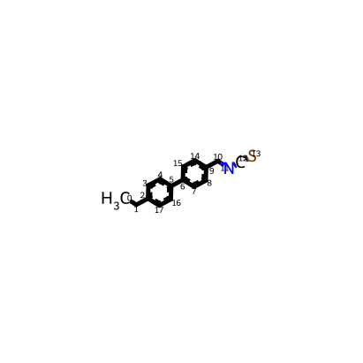 CCc1ccc(-c2ccc(CN=C=S)cc2)cc1